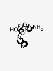 Nc1ccn([C@@H]2O[C@H](CN3CCc4ncccc4C3)[C@@H](O)C2(F)F)c(=O)n1